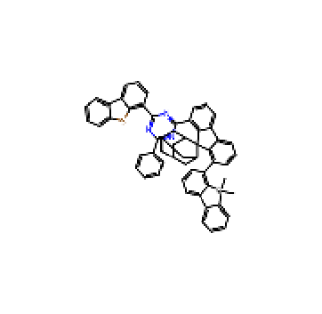 C[Si]1(C)c2ccccc2-c2cccc(-c3cccc4c3C3(c5c(-c6nc(-c7ccccc7)nc(-c7cccc8c7sc7ccccc78)n6)cccc5-4)C4CC5CC(C4)CC3C5)c21